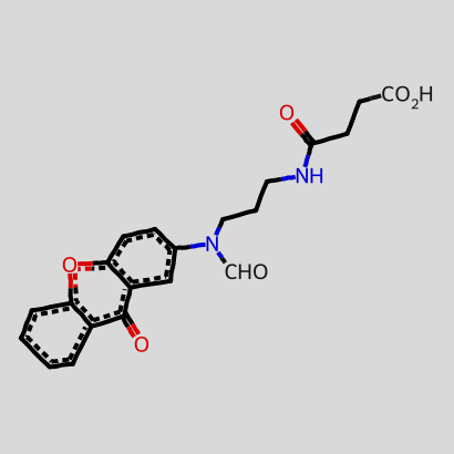 O=CN(CCCNC(=O)CCC(=O)O)c1ccc2oc3ccccc3c(=O)c2c1